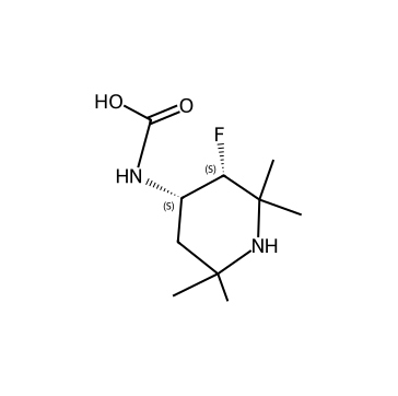 CC1(C)C[C@H](NC(=O)O)[C@H](F)C(C)(C)N1